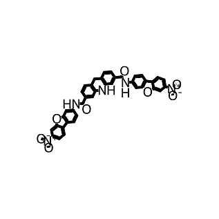 O=C(Nc1ccc2c(c1)oc1cc([N+](=O)[O-])ccc12)c1ccc2c(c1)Nc1cc(C(=O)Nc3ccc4c(c3)oc3cc([N+](=O)[O-])ccc34)ccc1C2